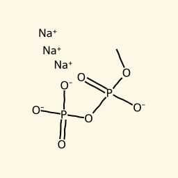 COP(=O)([O-])OP(=O)([O-])[O-].[Na+].[Na+].[Na+]